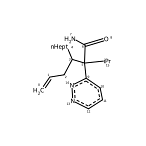 C=CCC(CCCCCCC)C(C(N)=O)(c1cccnn1)C(C)C